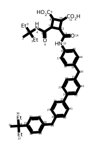 CCC(C)(CC)NC(=O)C1C(C(=O)O)C(C(=O)O)C1C(=O)Nc1ccc(Cc2ccc(-c3ccc(Cc4ccc(C(C)(CC)CC)cc4)cc3)cc2)cc1